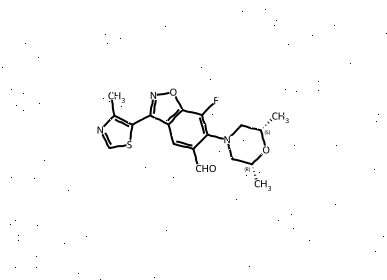 Cc1ncsc1-c1noc2c(F)c(N3C[C@@H](C)O[C@@H](C)C3)c(C=O)cc12